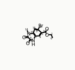 CCOC(=O)c1cc2[nH]c(=O)c(=O)n(C)c2cc1Br